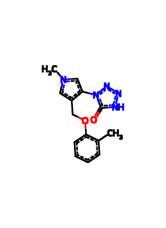 Cc1ccccc1OCc1cn(C)cc1-n1nn[nH]c1=O